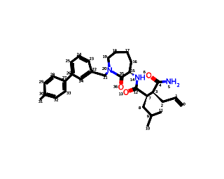 C=CC[C@H](C(N)=O)[C@@H](CC(C)C)C(=O)N[C@H]1CCCCN(Cc2cccc(-c3ccc(C)cc3)c2)C1=O